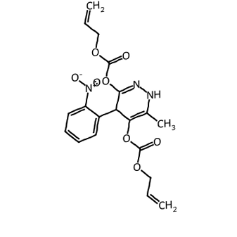 C=CCOC(=O)OC1=NNC(C)=C(OC(=O)OCC=C)C1c1ccccc1[N+](=O)[O-]